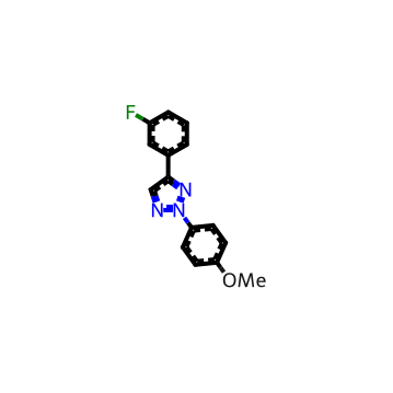 COc1ccc(-n2ncc(-c3cccc(F)c3)n2)cc1